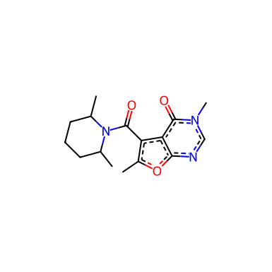 Cc1oc2ncn(C)c(=O)c2c1C(=O)N1C(C)CCCC1C